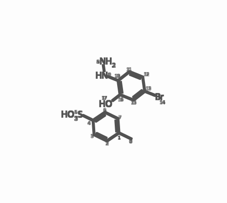 Cc1ccc(S(=O)(=O)O)cc1.NNc1ccc(Br)cc1O